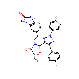 C[C@H]1O[C@H](c2nn(-c3ccc(Br)cc3)nc2-c2ccc(F)cc2)N(CCc2ccc3[nH]c(=O)[nH]c3c2)C1=O